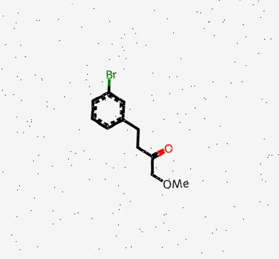 COCC(=O)CCc1cccc(Br)c1